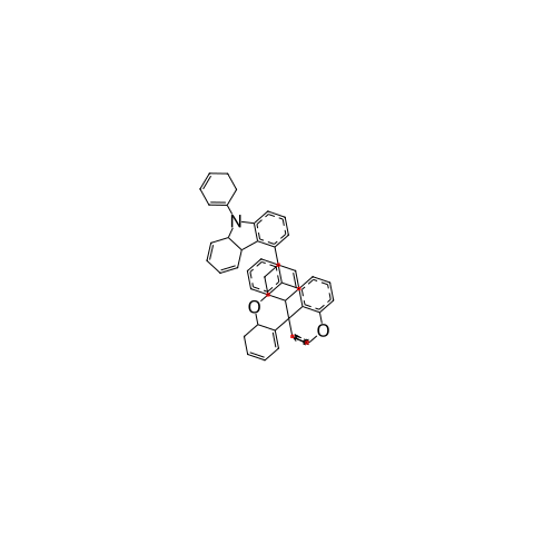 C1=CCCC(N2c3cccc(C4C=CC5C(C4)OC4CC=CC=C4C54c5ccccc5Oc5cccc(-c6ccccc6)c54)c3C3C=CC=CC32)=C1